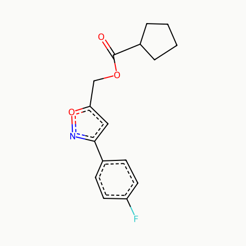 O=C(OCc1cc(-c2ccc(F)cc2)no1)C1CCCC1